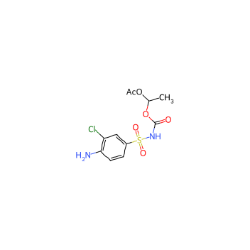 CC(=O)OC(C)OC(=O)NS(=O)(=O)c1ccc(N)c(Cl)c1